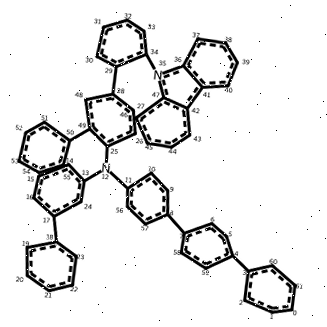 c1ccc(-c2ccc(-c3ccc(N(c4cccc(-c5ccccc5)c4)c4ccc(-c5ccccc5-n5c6ccccc6c6ccccc65)cc4-c4ccccc4)cc3)cc2)cc1